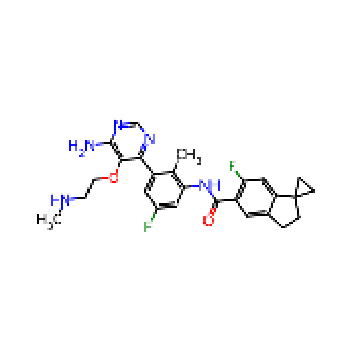 CNCCOc1c(N)ncnc1-c1cc(F)cc(NC(=O)c2cc3c(cc2F)C2(CC3)CC2)c1C